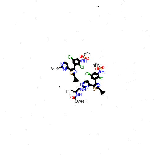 CCCS(=O)(=O)Nc1cc(Cl)cc(-c2nc(C3CC3)sc2-c2ccnc(NC)n2)c1Cl.CCCS(=O)(=O)Nc1cc(Cl)cc(-c2nc(C3CC3)sc2-c2ccnc(NCC(C)NC(=O)OC)n2)c1F